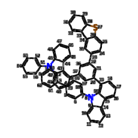 c1ccc(-c2ccc(-n3c4ccccc4c4cccc(-c5cc(-c6ccc7sc8ccccc8c7c6)cc(-c6cccc7c6c6ccccc6n7-c6ccccc6)c5)c43)cc2)cc1